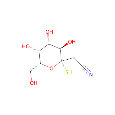 N#CC[C@@]1(S)O[C@H](CO)[C@H](O)[C@H](O)[C@H]1O